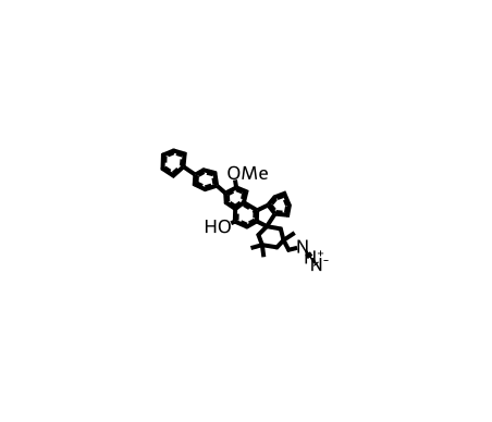 COc1cc2c3c(cc(O)c2cc1-c1ccc(-c2ccccc2)cc1)C1(CC(C)(C)CC(C)(CN=[N+]=[N-])C1)c1ccccc1-3